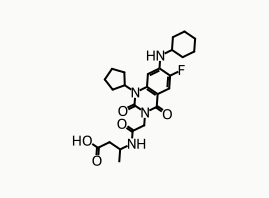 CC(CC(=O)O)NC(=O)Cn1c(=O)c2cc(F)c(NC3CCCCC3)cc2n(C2CCCC2)c1=O